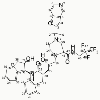 CC(C)(c1cc2cnccc2o1)N1CCN(C[C@@H](O)C[C@@H](Cc2ccccc2)C(=O)N[C@H]2c3ccccc3C[C@H]2O)[C@H](C(=O)NCC(F)(F)C(F)(F)F)C1